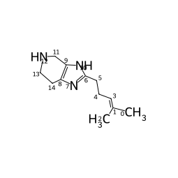 CC(C)=CCCc1nc2c([nH]1)CNCC2